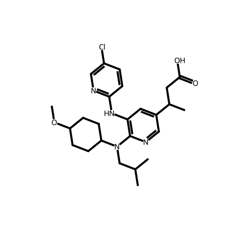 COC1CCC(N(CC(C)C)c2ncc(C(C)CC(=O)O)cc2Nc2ccc(Cl)cn2)CC1